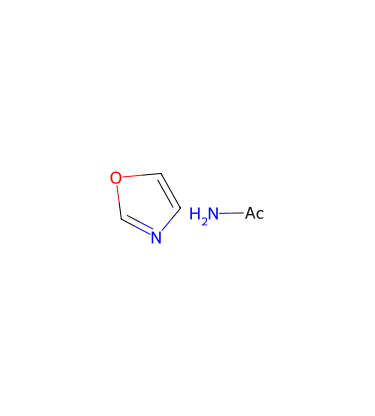 CC(N)=O.c1cocn1